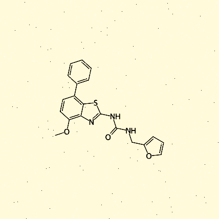 COc1ccc(-c2ccccc2)c2sc(NC(=O)NCc3ccco3)nc12